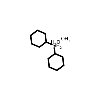 C1CCC([SiH2]C2CCCCC2)CC1.O.O